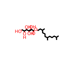 CC(C)CCCC(C)CCCC(C)CCOC(=O)/C(O)=C(\O)C(O)C(O)CO